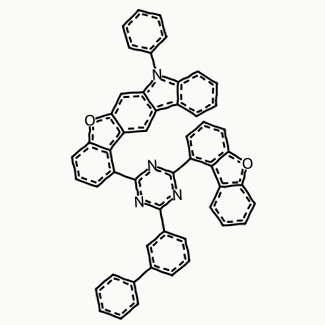 c1ccc(-c2cccc(-c3nc(-c4cccc5oc6ccccc6c45)nc(-c4cccc5oc6cc7c(cc6c45)c4ccccc4n7-c4ccccc4)n3)c2)cc1